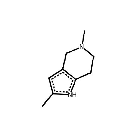 Cc1cc2c([nH]1)CCN(C)C2